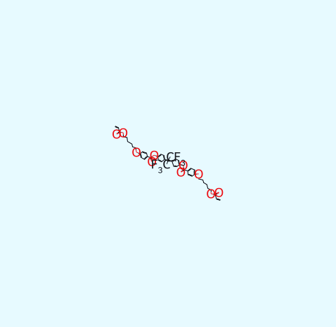 C=CC(=O)OCCCCCCOc1ccc(C(=O)Oc2ccc(C(c3ccc(OC(=O)c4ccc(OCCCCCCOC(=O)C=C)cc4)cc3)(C(F)(F)F)C(F)(F)F)cc2)cc1